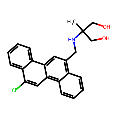 CC(CO)(CO)NCc1cc2c3ccccc3c(Cl)cc2c2ccccc12